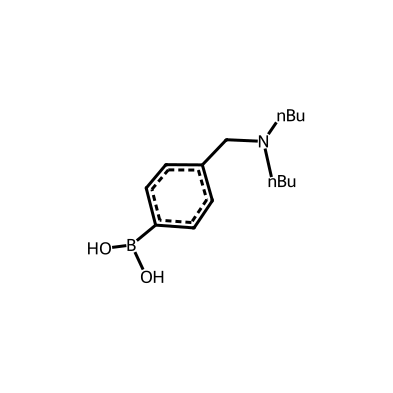 CCCCN(CCCC)Cc1ccc(B(O)O)cc1